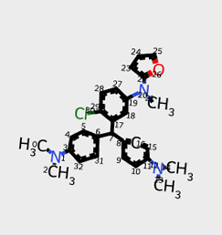 CN(C)c1ccc(C(c2ccc(N(C)C)cc2)c2cc(N(C)c3ccco3)ccc2Cl)cc1